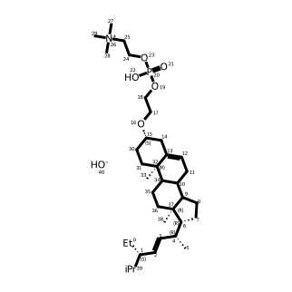 CC[C@H](C=C[C@@H](C)[C@H]1CCC2C3CC=C4C[C@@H](OCCOP(=O)(O)OCC[N+](C)(C)C)CC[C@]4(C)C3CC[C@@]21C)C(C)C.[OH-]